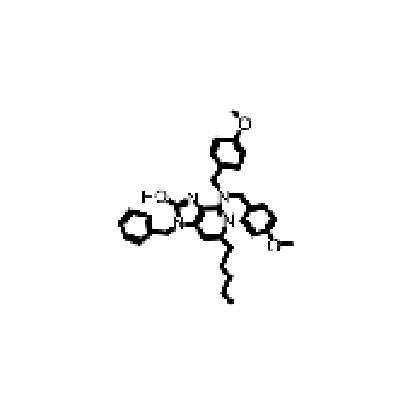 CCCCCc1cc2c(nc(O)n2Cc2ccccc2)c(N(Cc2ccc(OC)cc2)Cc2ccc(OC)cc2)n1